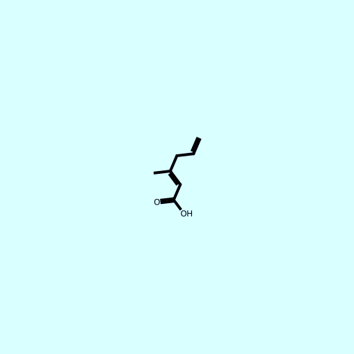 C=CCC(C)=CC(=O)O